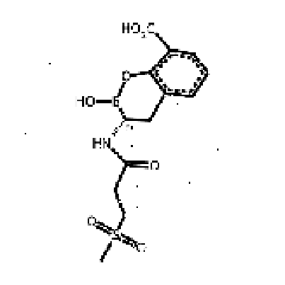 CS(=O)(=O)CCC(=O)N[C@H]1Cc2cccc(C(=O)O)c2OB1O